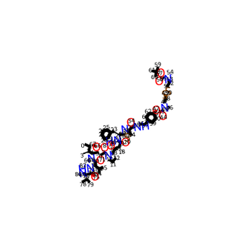 CC[C@H](C)[C@@H]([C@@H](CC(=O)N1CCC[C@H]1[C@H](OC)[C@@H](C)C(=O)N[C@@H](Cc1ccccc1)c1nc(C(=O)NCCc2ccc(OC(=O)N(C)CCSSCCN(C)C(=O)OC(C)(C)C)cc2)cs1)OC)N(C)C(=O)[C@@H](NC(=O)[C@H](C(C)C)N(C)C)C(C)C